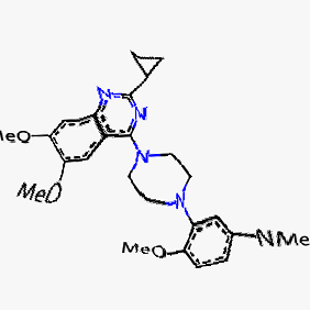 CNc1ccc(OC)c(N2CCN(c3nc(C4CC4)nc4cc(OC)c(OC)cc34)CC2)c1